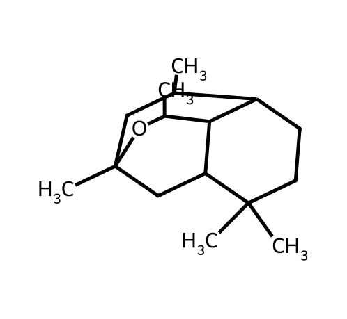 CC1CC2(C)CC3C(C(C)O2)C1CCC3(C)C